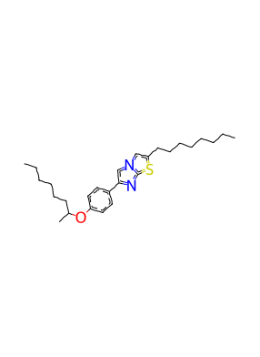 CCCCCCCCc1cn2cc(-c3ccc(OC(C)CCCCCC)cc3)nc2s1